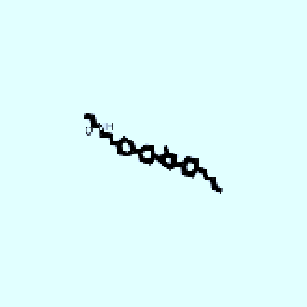 C=CC(=O)NCCCC1CCC(C2CCC(c3ccc(C4CCC(CCCCC)CC4)cc3C)CC2)CC1